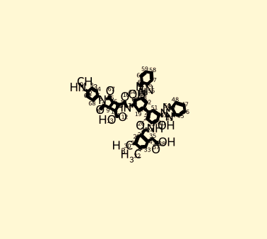 CNc1ccc(N2C(=O)C3C(C(=O)O)C(C(=O)Nc4cc(-c5cc(NC(=O)c6cc(C)c(C)cc6CC(=O)O)c(O)c(-n6nc7ccccc7n6)c5)cc(-n5nc6ccccc6n5)c4O)C3C2=O)cc1